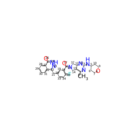 Cc1nc(NC2CCOCC2)nc2c1CN(C(=O)c1cc(Cc3n[nH]c(=O)c4ccccc34)ccc1F)C2